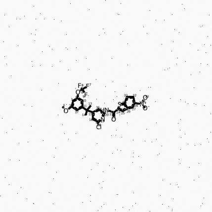 COc1cc(OC(F)(F)F)cc(C(C)(C)c2cc(Cl)nc(NC(=O)c3cc4cc([N+](=O)[O-])ccc4s3)c2)c1